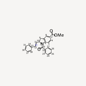 COC(=O)c1ccc2c(c1)CC(/C=C/c1ccccc1)N2C(=O)c1ccccc1